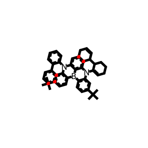 CC(C)(C)c1ccc2c(c1)N(C1=CCCCC1C1C=CCCC1)c1cccc3c1B2c1ccc(C(C)(C)C)cc1N3c1ccccc1-c1ccccc1